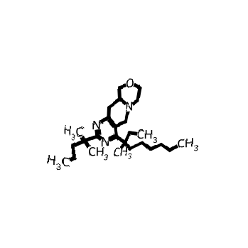 CCCCCCC(C)(CC)c1nc(C(C)(C)CCC)nc2c1CN1CCOCC1C2